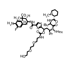 CCCCCCN(C(=O)C(NC(=O)[C@H]1CCCCN1C)C(C)CC)C(CC(OC(=O)NCCOCCOCCO)c1nc(C(=O)NC(Cc2ccc(N)c(F)c2)CC(C)(C)C(=O)O)cs1)C(C)C